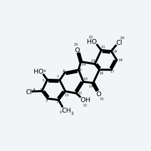 Cc1cc(Cl)c(O)c2cc3c(c(O)c12)C(=O)c1ccc(Cl)c(O)c1C3=O